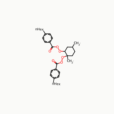 [CH2]C1CCC([CH2])(OOC(=O)c2ccc(CCCCCC)cc2)C(OOC(=O)c2ccc(CCCCCC)cc2)C1